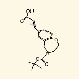 CC(C)(C)OC(=O)N1CCOc2ccc(/C=C/C(=O)O)cc2C1